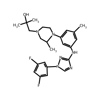 Cc1cc(Nc2ncn(-c3cc(F)cc(F)c3)n2)cc(N2CCN(CC(C)(C)O)CC2C)c1